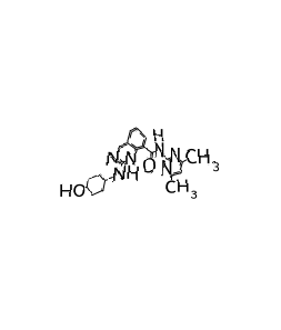 Cc1cc(C)nc(NC(=O)c2cccc3cnc(NC4CCC(O)CC4)nc23)n1